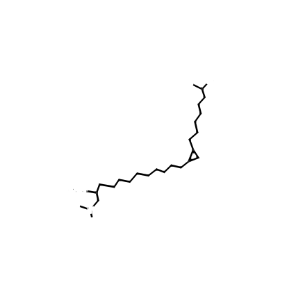 CCCCCCCCCC(CCCCCCCCCCC1CC1CCCCCCC(C)C(=O)O)CN(C)C